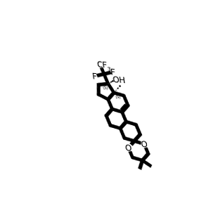 CC1(C)COC2(CCC3C4=CC[C@@]5(C)C(CC[C@@]5(O)C(F)(F)C(F)(F)F)C4CCC3C2)OC1